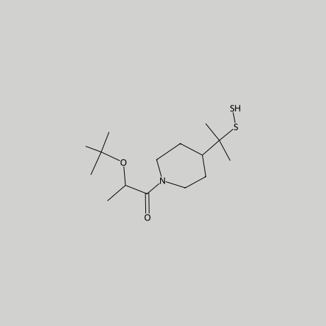 CC(OC(C)(C)C)C(=O)N1CCC(C(C)(C)SS)CC1